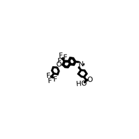 CN(Cc1ccc2c(C(F)(F)F)c(OC3CCC(C(F)(F)F)CC3)ccc2c1)CC1CCC(C(=O)O)CC1